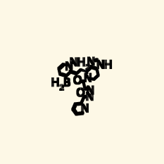 BC1=CC=CN(N)/C1=C\C[C@H]1c2nc[nH]c2CCN1C(=O)c1nnc(-c2ccccn2)o1